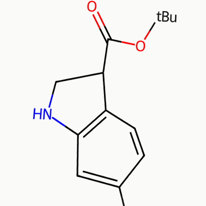 CC(C)(C)OC(=O)C1CNc2cc(C(C)(C)C)ccc21